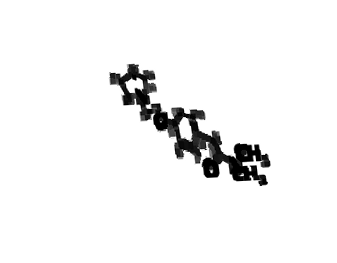 CN(C)C(=O)Cc1ccc(OCCN2CC[CH]CC2)cc1